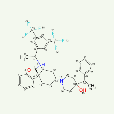 CC(NC(=O)[C@]1(c2ccccc2)CC[C@@H](N2CCC(O)(C(C)c3ccccc3)CC2)CC1)c1cc(C(F)(F)F)cc(C(F)(F)F)c1